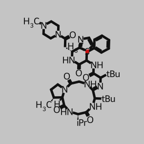 CC(C)[C@@H]1NC(=O)[C@@H]2[C@H](C)CCN2C(=O)CN/C(=N\C(C(=O)NC(C(=O)N[C@H](CC(=O)N2CCN(C)CC2)c2nccs2)[C@@H](C)c2ccccc2)C(C)(C)C)C(C(C)(C)C)NC1=O